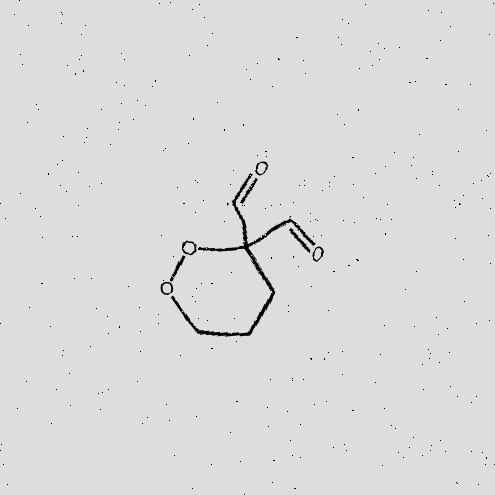 O=[C]C1([C]=O)CCCOO1